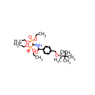 CCOP(=O)(OCC)C(NC(=O)c1ccc(CO[Si](C)(C)C(C)(C)C)cc1)P(=O)(OCC)OCC